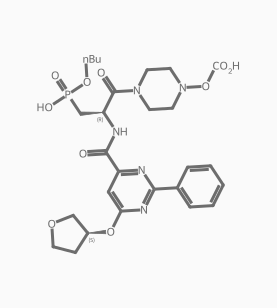 CCCCOP(=O)(O)C[C@H](NC(=O)c1cc(O[C@H]2CCOC2)nc(-c2ccccc2)n1)C(=O)N1CCN(OC(=O)O)CC1